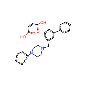 O=C(O)/C=C\C(=O)O.c1ccc(-c2cccc(CN3CCN(c4ccccc4)CC3)c2)cc1